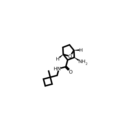 CC1(CNC(=O)C2[C@@H]3CC[C@@H](O3)[C@H]2N)CCC1